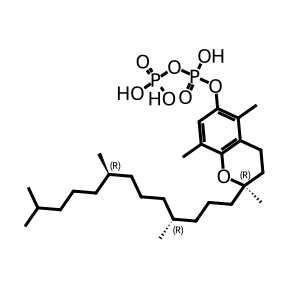 Cc1cc(OP(=O)(O)OP(=O)(O)O)c(C)c2c1O[C@](C)(CCC[C@H](C)CCC[C@H](C)CCCC(C)C)CC2